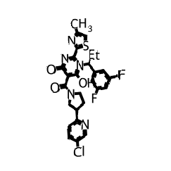 CC[C@@H](c1cc(F)cc(F)c1)n1c(-c2nc(C)cs2)nc(=O)c(C(=O)N2CCC(c3ccc(Cl)cn3)C2)c1O